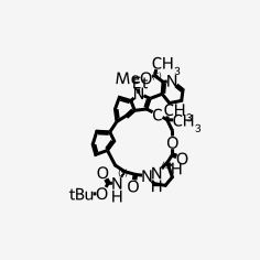 CCn1c(C2=C([C@H](C)OC)N=CCC2)c2c3cc(ccc31)-c1cccc(c1)C[C@H](NC(=O)OC(C)(C)C)C(=O)N1CCC[C@H](N1)C(=O)OCC(C)(C)C2